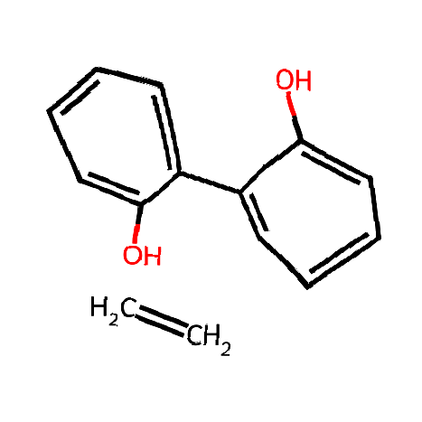 C=C.Oc1ccccc1-c1ccccc1O